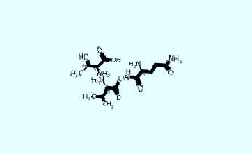 CC(C)[C@H](N)C(=O)O.C[C@@H](O)[C@H](N)C(=O)O.NC(=O)CC[C@H](N)C(=O)O